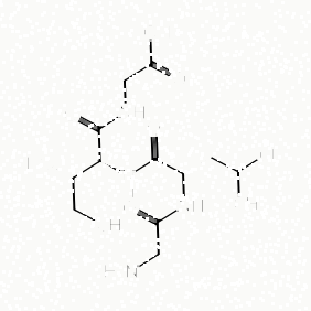 CC[C@H](C)[C@H](NC(=O)[C@H](CC(C)C)NC(=O)CN)C(=O)NCC(=O)O